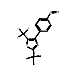 CC(C)(C)c1nc(-c2ccc(N=O)cc2)c(C(F)(F)F)s1